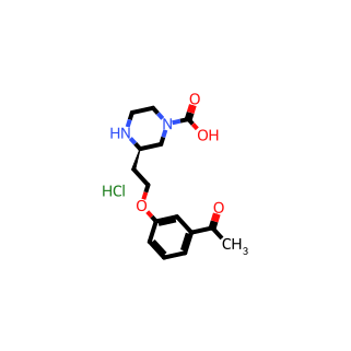 CC(=O)c1cccc(OCC[C@@H]2CN(C(=O)O)CCN2)c1.Cl